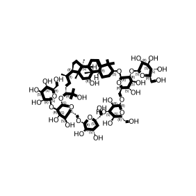 C[C@H](CC[C@@H](O[C@@H]1O[C@H](CO[C@@H]2O[C@H](CO)C[C@H](O)[C@H]2O)[C@@H](O)[C@H](O)[C@H]1O[C@@H]1O[C@H](CO)[C@@H](O)[C@H](O)[C@H]1O)C(C)(C)O)[C@H]1CC[C@@]2(C)[C@@H]3CC=C4[C@@H](CC[C@H](O[C@@H]5O[C@H](CO[C@@H]6O[C@H](CO)[C@@H](O)[C@H](O)[C@H]6O)[C@@H](O)[C@H](O)[C@H]5O[C@@H]5O[C@H](CO)[C@@H](O)[C@H](O)[C@H]5O)C4(C)C)[C@]3(C)[C@H](O)C[C@]12C